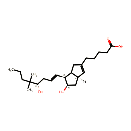 CCCC(C)(C)[C@@H](O)C/C=C/[C@H]1C2CC(CCCCC(=O)O)=C[C@H]2C[C@H]1O